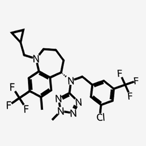 Cc1cc2c(cc1C(F)(F)F)N(CC1CC1)CCC[C@@H]2N(Cc1cc(Cl)cc(C(F)(F)F)c1)c1nnn(C)n1